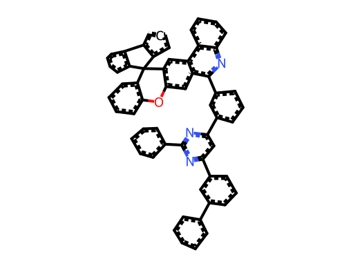 c1ccc(-c2cccc(-c3cc(-c4cccc(-c5nc6ccccc6c6cc7c(cc56)Oc5ccccc5C75c6ccccc6-c6ccccc65)c4)nc(-c4ccccc4)n3)c2)cc1